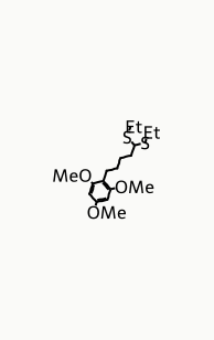 CCSC(CCCCc1c(OC)cc(OC)cc1OC)SCC